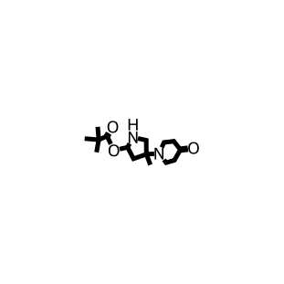 CC(C)(C)C(=O)OC1CC(C)(N2CCC(=O)CC2)CN1